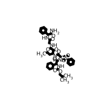 CCCC(NC(=O)[C@H](CS(=O)(=O)c1ccccc1)NC(=O)[C@@H](NC(=O)OCC(C)C)C1CCCCC1)C(=O)C(=O)NCC(=O)N[C@H](C(N)=O)c1ccccc1